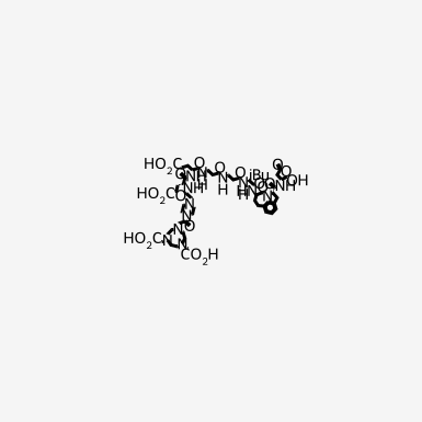 CC[C@H](C)[C@H](NC(=O)CCNC(=O)CCNC(=O)C(CCC(=O)O)NC(=O)[C@@H](CCC(=O)O)NC(=O)CN1CCN(C(=O)CN2CCN(CC(=O)O)CCN(CC(=O)O)CC2)CC1)C(=O)N[C@H]1CCc2cccc3c2N(C1=O)[C@H](C(=O)NC1CC(=O)OC1O)C3